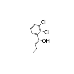 CCC=C(O)c1cccc(Cl)c1Cl